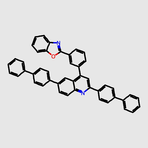 c1ccc(-c2ccc(-c3ccc4nc(-c5ccc(-c6ccccc6)cc5)cc(-c5cccc(-c6nc7ccccc7o6)c5)c4c3)cc2)cc1